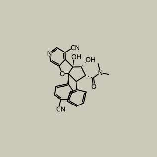 CN(C)C(=O)[C@H]1[C@@H](O)[C@@]2(O)c3c(C#N)cncc3O[C@@]2(c2ccc(C#N)cc2)[C@@H]1c1ccccc1